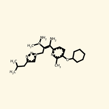 Cc1nc(/C(N)=C(\Cn2cc(CC(C)C)nn2)N(C)N)ccc1OC1CCCCC1